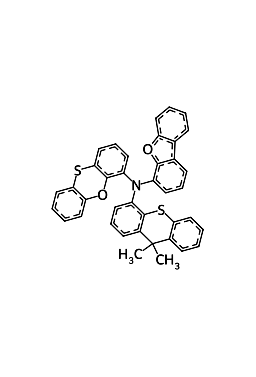 CC1(C)c2ccccc2Sc2c(N(c3cccc4c3Oc3ccccc3S4)c3cccc4c3oc3ccccc34)cccc21